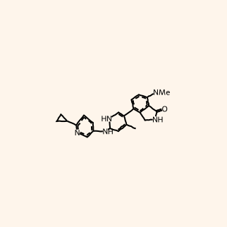 CNc1ccc(C2=CNC(Nc3ccc(C4CC4)nc3)C=C2C)c2c1C(=O)NC2